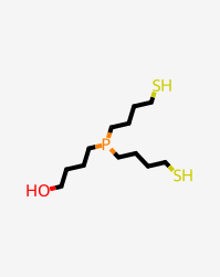 OCCCCP(CCCCS)CCCCS